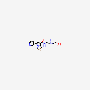 O=C(NCCNCCO)c1cc(-c2cccnc2)n2c1CSC2